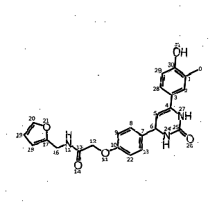 Cc1cc(C2=CC(c3ccc(OCC(=O)NCc4ccco4)cc3)NC(=O)N2)ccc1O